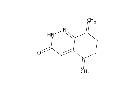 C=C1CCC(=C)c2n[nH]c(=O)cc21